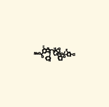 COC(=O)c1cc(F)c2nc(CN3CCN(c4cccc5c4O[C@](C)(c4ccc(Cl)cc4F)O5)[C@H]4COC[C@H]43)n(Cc3cccnc3)c2c1